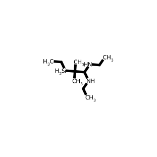 CCNC(NCC)C(C)(C)[SiH2]CC